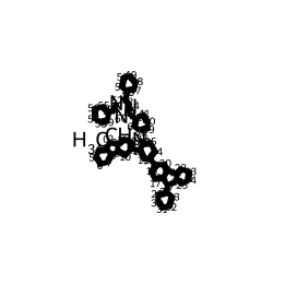 CC1(C)c2ccccc2-c2cc3c4cc(-c5ccc6c(c5)-c5ccccc5C6c5ccccc5)ccc4n(-c4cccc(-c5nc(-c6ccccc6)nc(-c6ccccc6)n5)c4)c3cc21